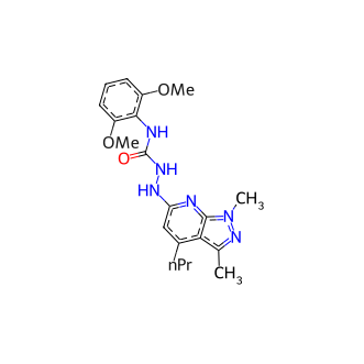 CCCc1cc(NNC(=O)Nc2c(OC)cccc2OC)nc2c1c(C)nn2C